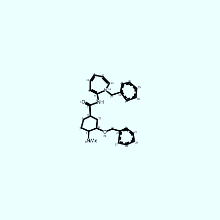 CNC1CCC(C(=O)NC2=CC=CC=CN2Cc2ccccc2)CC1OCc1ccccc1